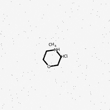 C.C1COCCN1.Cl